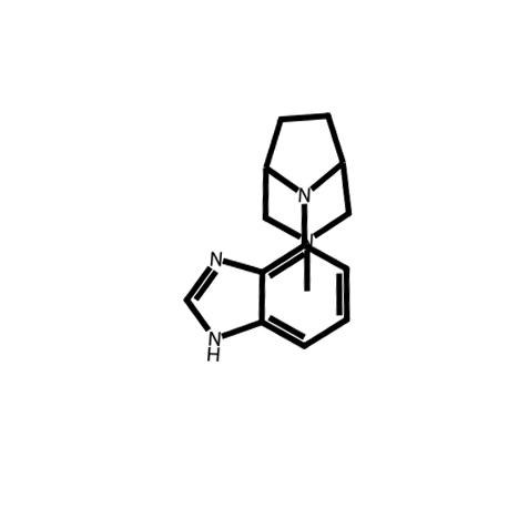 CN1CC2CCC(C1)N2c1cccc2[nH]cnc12